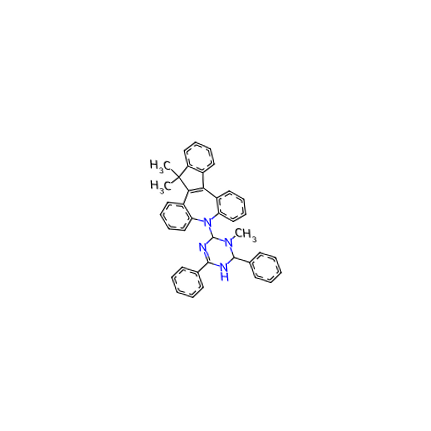 CN1C(c2ccccc2)NC(c2ccccc2)=NC1N1c2ccccc2C2=C(c3ccccc31)C(C)(C)c1ccccc12